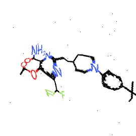 CC(=O)Oc1c(C(N)=O)nc(CC2CCN(c3ccc(C(C)(C)C)cc3)CC2)nc1C(F)F